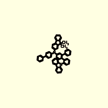 CC1(C)c2ccccc2-c2ccc(N(c3ccc(-c4ccccc4)cc3)c3ccc(-c4ccccc4-n4c5ccccc5c5ccccc54)c(-c4ccccc4)c3)cc21